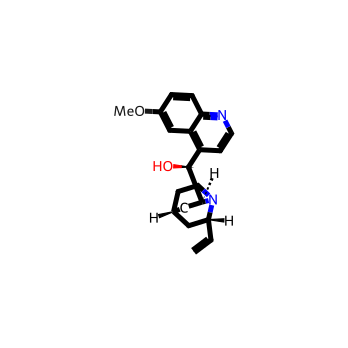 C=C[C@@H]1C[C@@H]2CCN1[C@H]([C@@H](O)c1ccnc3ccc(OC)cc13)C2